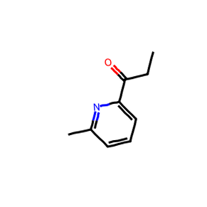 CCC(=O)c1cccc(C)n1